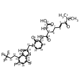 CN(C)C(=O)/C=C/CC[C@H](NC(=O)O)C(=O)Nc1cccn(Cc2nc3c(F)cc(F)c(CCC(F)(F)F)c3[nH]2)c1=O